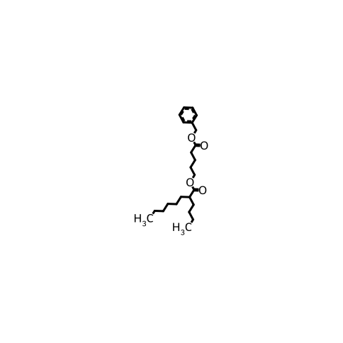 CCCCCCC(CCCC)C(=O)OCCCCC(=O)OCc1ccccc1